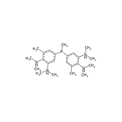 Cc1cc(P(C)c2cc(C)c([SiH](C)C)c([SiH](C)C)c2)cc([SiH](C)C)c1[SiH](C)C